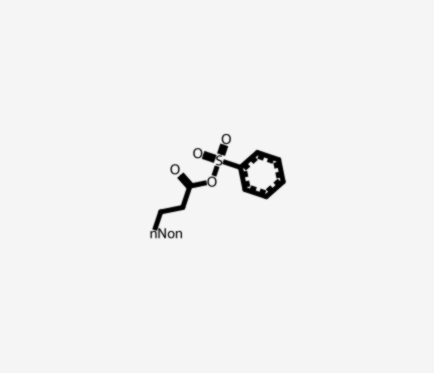 CCCCCCCCCCCC(=O)OS(=O)(=O)c1ccccc1